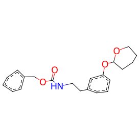 O=C(NCCc1cccc(OC2CCCCO2)c1)OCc1ccccc1